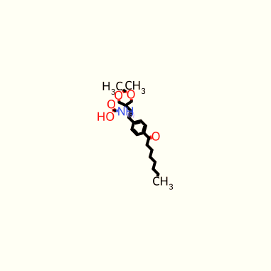 CCCCCCCC(=O)c1ccc(/C=C/C2(NC(=O)O)COC(C)(C)OC2)cc1